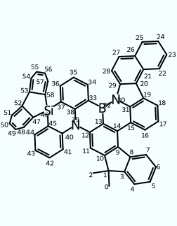 CC1(C)c2ccccc2-c2c1cc1c3c2-c2cccc4c5c6ccccc6ccc5n(c24)B3c2cccc3c2N1c1ccccc1[Si]31c2ccccc2-c2ccccc21